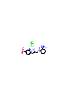 Cl.Cl.Cl.N[C@@H](CN[C@H]1CCCC[C@@H]1N)Cc1ccc([N+](=O)[O-])cc1